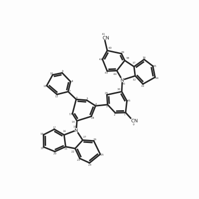 N#Cc1cc(-c2cc(-c3ccccc3)cc(-n3c4ccccc4c4ccccc43)c2)cc(-n2c3ccccc3c3cc(C#N)ccc32)c1